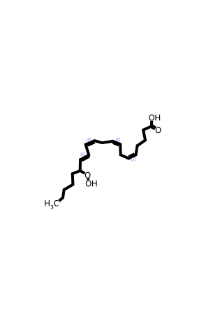 CCCCCC(/C=C/C=C\C/C=C\C/C=C\CCCC(=O)O)OO